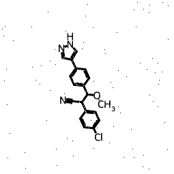 COC(c1ccc(-c2cn[nH]c2)cc1)C(C#N)c1ccc(Cl)cc1